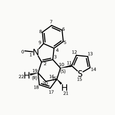 Cn1c2c(c3ccccc31)[C@@H](c1cccs1)[C@@H]1C=C[C@H]2C1